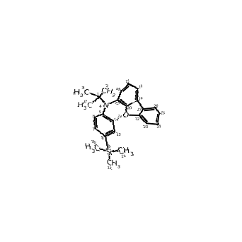 CC(C)(C)N(c1ccc([Si](C)(C)C)cc1)c1cccc2c1oc1ccccc12